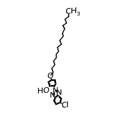 CCCCCCCCCCCCCCCCCCOc1ccc(-n2nc3ccc(Cl)cc3n2)c(O)c1